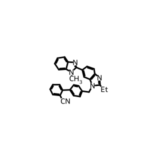 CCc1nc2ccc(-c3nc4ccccc4n3C)cc2n1Cc1ccc(-c2ccccc2C#N)cc1